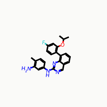 Cc1ccc(Nc2ncc3cccc(-c4ccc(F)cc4OC(C)C)c3n2)cc1N